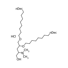 CCCCCCCCCCCCCCCCCCOCC(CC(CO)N(C)C)OCCCCCCCCCCCCCCCCCC.Cl